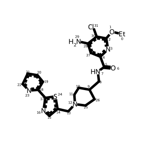 CCOc1nc(C(=O)NCC2CCN(Cc3cnc(-c4ccccn4)s3)CC2)cc(N)c1Cl